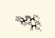 C=C(C)C(=O)O.C=C(C)C(=O)O.CC(CO)(CO)CO